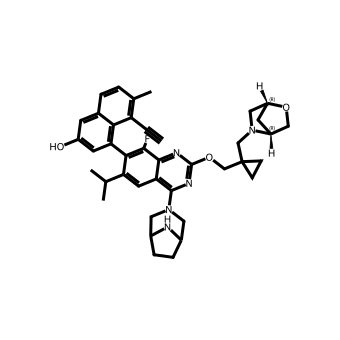 C#Cc1c(C)ccc2cc(O)cc(-c3c(C(C)C)cc4c(N5CC6CCC(C5)N6)nc(OCC5(CN6C[C@H]7C[C@@H]6CO7)CC5)nc4c3F)c12